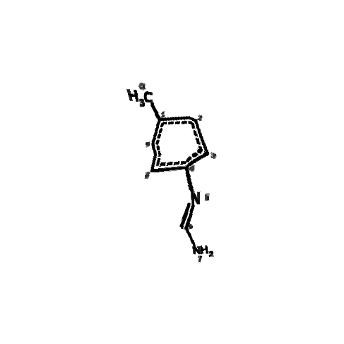 Cc1ccc(/N=[C]/N)cc1